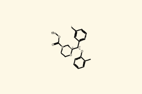 Cc1ccccc1O[C@@H](c1cccc(I)c1)[C@@H]1CN(C(=O)OC(C)(C)C)CCO1